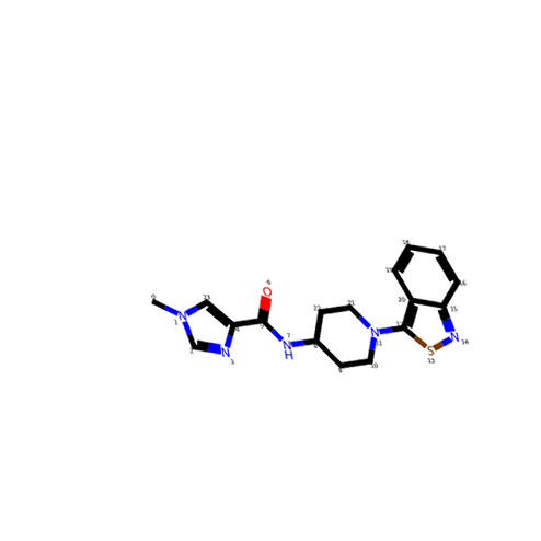 Cn1cnc(C(=O)NC2CCN(c3snc4ccccc34)CC2)c1